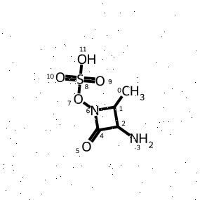 CC1C(N)C(=O)N1OS(=O)(=O)O